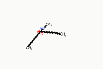 CCCCCCCCCCCCCCCC(=O)C(CCNCCCC)C(=O)CCCCCCCCCCCCCCC